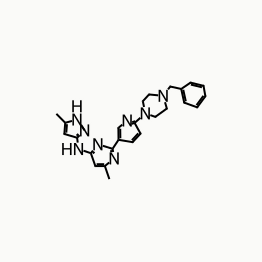 Cc1cc(Nc2cc(C)[nH]n2)nc(-c2ccc(N3CCN(Cc4ccccc4)CC3)nc2)n1